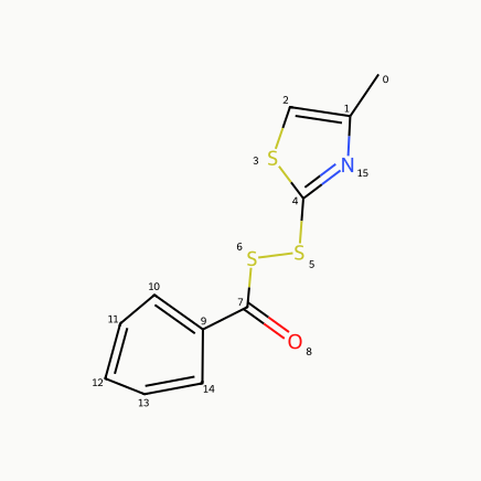 Cc1csc(SSC(=O)c2ccccc2)n1